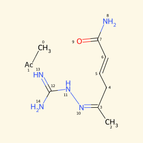 CC(C)=O.CC(CC=CC(N)=O)=NNC(=N)N